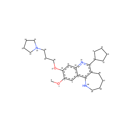 COc1cc2c3c(c(C4CCCC4)nc2cc1OCCCN1CCCC1)CCCCN3